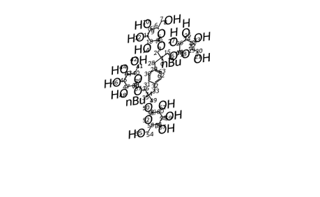 CCCCC(CO[C@@H]1OC(CO)[C@@H](O)C(O)C1O)(CO[C@@H]1OC(CO)[C@@H](O)C(O)C1O)Cc1ccc(CC(CCCC)(CO[C@@H]2OC(CO)[C@@H](O)C(O)C2O)CO[C@@H]2OC(CO)[C@@H](O)C(O)C2O)cc1